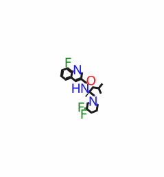 CC(C)C[C@](C)(CN1CCCC(F)(F)C1)NC(=O)c1cnc2c(F)cccc2c1